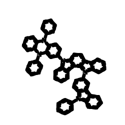 c1ccc(N2c3ccccc3N(c3ccccc3)c3cc(-n4c5ccccc5c5c4ccc4c6ccccc6n(-c6ccc7c(c6)c6ccccc6n7-c6ccccc6)c45)ccc32)cc1